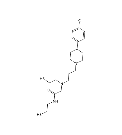 O=C(CN(CCS)CCCN1CCC(c2ccc(Cl)cc2)CC1)NCCS